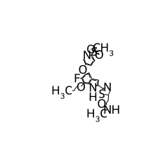 CCCOc1c(F)c(Oc2ccc(S(C)(=O)=O)nc2)cc2cc(C3=NCC(CC(=O)NC)S3)[nH]c12